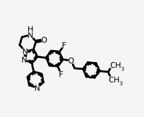 CC(C)c1ccc(COc2c(F)cc(-c3c(-c4ccncc4)nn4c3C(=O)NCC4)cc2F)cc1